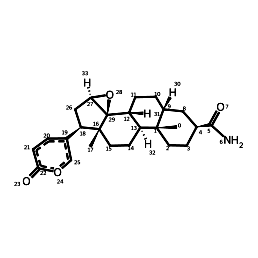 C[C@]12CC[C@H](C(N)=O)C[C@H]1CC[C@@H]1[C@@H]2CC[C@]2(C)[C@@H](c3ccc(=O)oc3)C[C@H]3O[C@]132